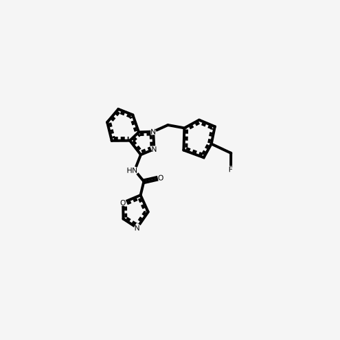 O=C(Nc1nn(Cc2ccc(CF)cc2)c2ccccc12)c1cnco1